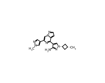 Cn1cc(-c2cn3nccc3c(-c3cn([C@H]4C[C@@H](C)C4)nc3N)n2)cn1